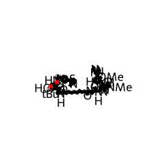 CNC(=O)c1nnc(NC(=O)CNC(=O)CCCCCCCCC(=O)NC(C(=O)N2C[C@H](O)C[C@H]2C(=O)N[C@@H](C)c2ccc(-c3scnc3C)cc2)C(C)(C)C)cc1Nc1cccc(-c2ncn(C)n2)c1OC